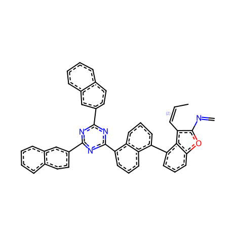 C=Nc1oc2cccc(-c3cccc4c(-c5nc(-c6ccc7ccccc7c6)nc(-c6ccc7ccccc7c6)n5)cccc34)c2c1/C=C\C